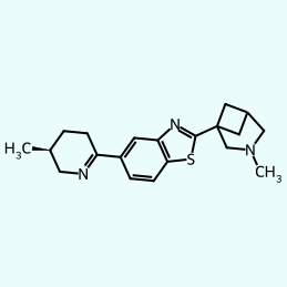 C[C@H]1CCC(c2ccc3sc(C45CC(CN(C)C4)C5)nc3c2)=NC1